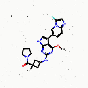 COc1nc(NC2CC(C)(C(=O)N3CCCC3)C2)nc2[nH]cc(-c3ccc4ncc(F)n4c3)c12